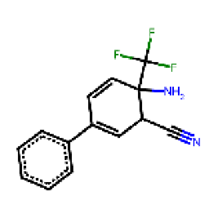 N#CC1C=C(c2ccccc2)C=CC1(N)C(F)(F)F